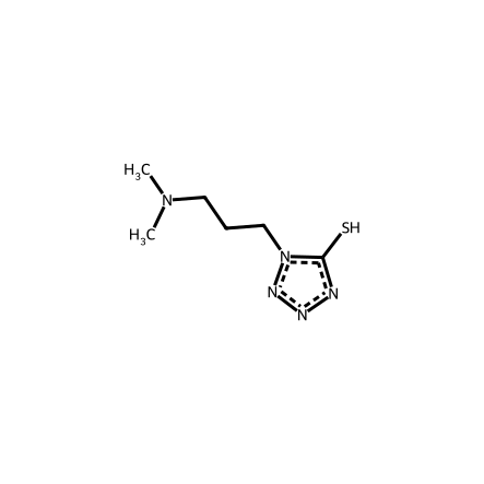 CN(C)CCCn1nnnc1S